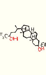 CC[C@]1(O)CC[C@@]2(C)C(=CC[C@H]3[C@@H]4CC[C@H]([C@H](C)CC[C@@H](O)C(F)(F)F)[C@@]4(C)CC[C@@H]32)C1